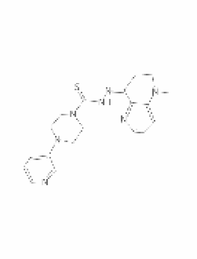 CN1CC/C(=N/NC(=S)N2CCN(c3cccnc3)CC2)c2ncccc21